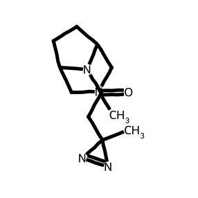 CN1CC2CCC(C1)N2C(=O)CC1(C)N=N1